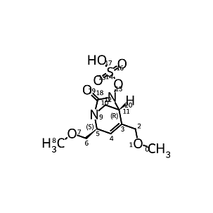 COCC1=C[C@@H](COC)N2C[C@@H]1N(OS(=O)(=O)O)C2=O